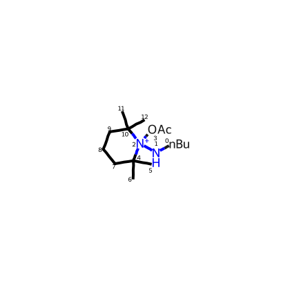 CCCCN[N+]1(OC(C)=O)C(C)(C)CCCC1(C)C